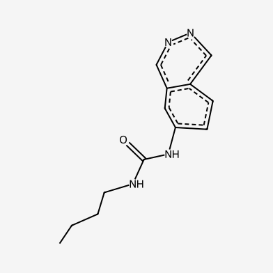 CCCCNC(=O)Nc1ccc2cnncc2c1